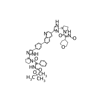 CC(C)(C)OC(=O)N[C@@H](C(=O)N1CCC[C@H]1c1ncc(-c2ccc(-c3ccc4cc(-c5c[nH]c([C@@H]6CCCN6C(=O)[C@@H](NC=O)C6CCOCC6)n5)cnc4c3)cc2)[nH]1)c1ccccc1